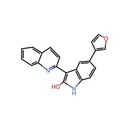 Oc1[nH]c2ccc(-c3ccoc3)cc2c1-c1ccc2ccccc2n1